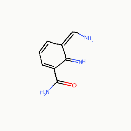 N=C1C(C(N)=O)=CC=C/C1=C/N